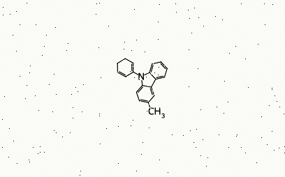 Cc1ccc2c(c1)c1ccccc1n2C1=CCCC=C1